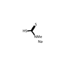 CNC(=S)S.[Na]